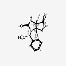 C[C@@H](c1ccccc1)N1C(=O)N[C@@H]2C(=O)OC[C@@H]21